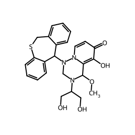 COC1c2c(O)c(=O)ccn2N(C2c3ccccc3CSc3ccccc32)CN1C(CO)CO